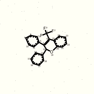 FC(F)(F)C1=C(c2ccccc2)C(c2ccccc2)Oc2ccccc21